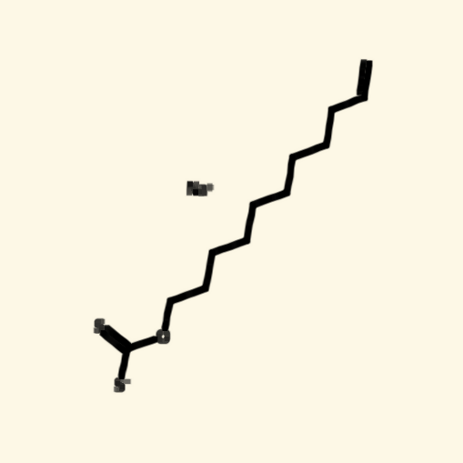 C=CCCCCCCCCCOC(=S)[S-].[Na+]